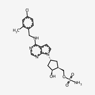 Cc1cc(Cl)ccc1CNc1ncnc2c1ccn2[C@@H]1C[C@@H](COS(N)(=O)=O)[C@@H](O)C1